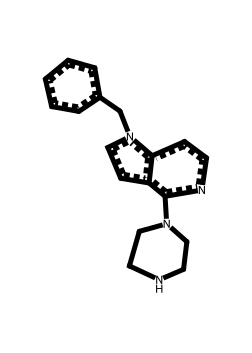 c1ccc(Cn2ccc3c(N4CCNCC4)nccc32)cc1